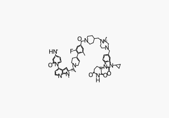 CNc1ccn(-c2ccnc3c2cc([C@H](C)N2CC=C(c4c(C)cc(C(=O)N5CCC(CN6CCN(Cc7ccc8c(c7)n(C7CC7)c(=O)n8[C@@H]7CCC(=O)NC7=O)C[C@@H]6C)CC5)cc4F)CC2)n3C)c(=O)c1